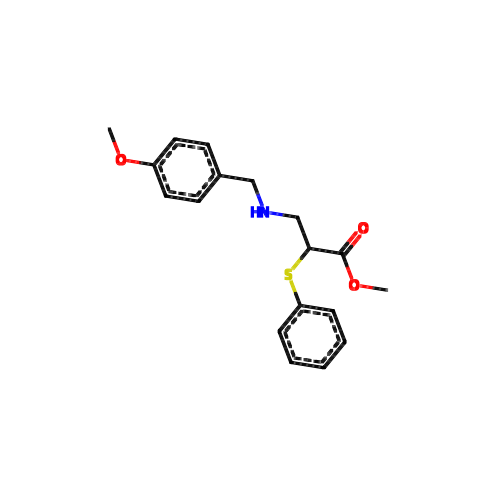 COC(=O)C(CNCc1ccc(OC)cc1)Sc1ccccc1